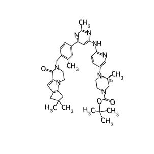 Cc1nc(Nc2ccc(N3CCN(C(=O)OC(C)(C)C)C[C@@H]3C)cn2)cc(-c2ccc(CN3CCn4c(cc5c4CC(C)(C)C5)C3=O)c(C)c2)n1